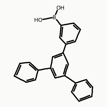 OB(O)c1cccc(-c2cc(-c3ccccc3)cc(-c3ccccc3)c2)c1